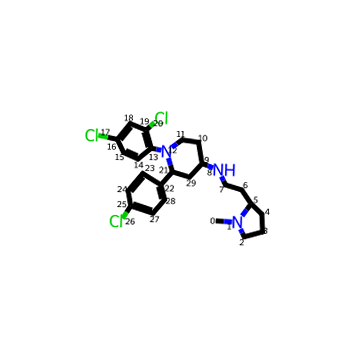 CN1CCCC1CCNC1CCN(c2ccc(Cl)cc2Cl)C(c2ccc(Cl)cc2)C1